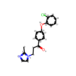 Cc1nccn1CCC(=O)c1ccc(Oc2ccccc2Cl)cc1